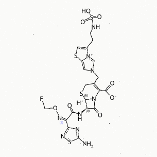 Nc1nc(/C(=N/OCF)C(=O)N[C@@H]2C(=O)N3C(C(=O)[O-])=C(Cn4cc5scc(CCNS(=O)(=O)O)[n+]5c4)CS[C@H]23)ns1